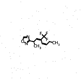 CC/C=C\C(=C/[C@@H](C)c1ncon1)C(F)(F)F